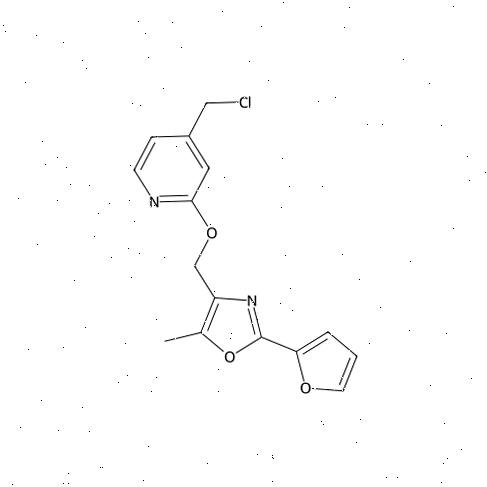 Cc1oc(-c2ccco2)nc1COc1cc(CCl)ccn1